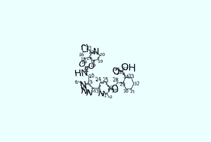 Cc1nc(-c2nnn(C)c2CNC(=O)O[C@H](C)c2cccnc2Cl)ccc1OCC1CCCCC1C(=O)O